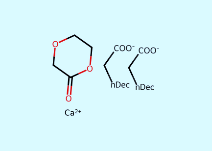 CCCCCCCCCCCC(=O)[O-].CCCCCCCCCCCC(=O)[O-].O=C1COCCO1.[Ca+2]